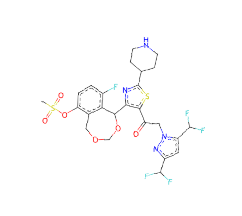 CS(=O)(=O)Oc1ccc(F)c2c1COCOC2c1nc(C2CCNCC2)sc1C(=O)Cn1nc(C(F)F)cc1C(F)F